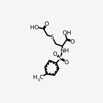 Cc1ccc(S(=O)(=O)NC(CSCC(=O)O)C(=O)O)cc1